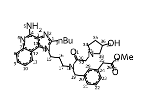 CCCCc1nc2c(N)nc3ccccc3c2n1CCCN(Cc1cccc(CC(=O)OC)c1)C(=O)CN1CCC(O)C1